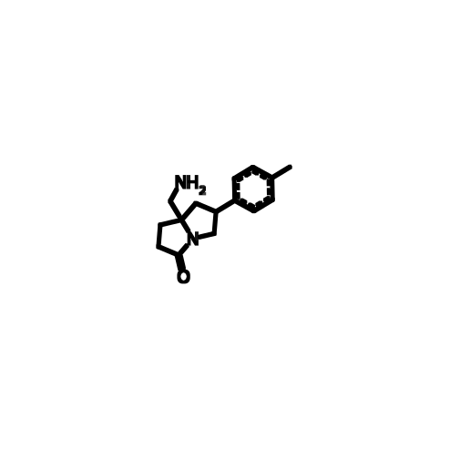 Cc1ccc(C2CN3C(=O)CCC3(CN)C2)cc1